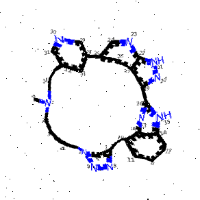 CN1CCCn2cc(nn2)-c2cccc3[nH]c(nc23)-c2n[nH]c3ncc(cc23)-c2cncc(c2)C1